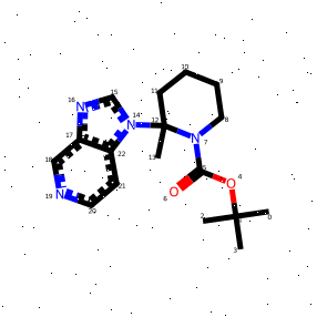 CC(C)(C)OC(=O)N1CCCCC1(C)n1cnc2cnccc21